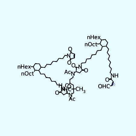 CCCCCCCCC1C(CCCCCC)CCC(CCCCCCCCNC(=O)/C=C\C=O)C1CCCCCCCCN1C(=O)CC(N(CCC(C)CC(C)(C)CN(C(C)=O)C2CC(=O)N(CCCCCCCCC3C(CCCCCCCCN4C(=O)C=CC4=O)CCC(CCCCCC)C3CCCCCCCC)C2=O)C(C)=O)C1=O